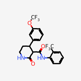 O=C1NCCC(c2cccc(OC(F)(F)F)c2)C1C(=O)Nc1ccccc1C(F)(F)F